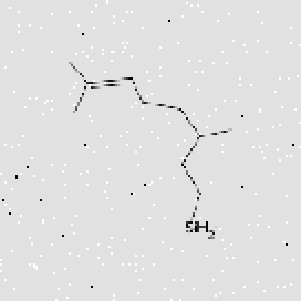 CC(C)=CCCC(C)CC[SiH2]